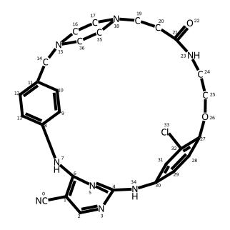 N#Cc1cnc2nc1Nc1ccc(cc1)CN1CCN(CCC(=O)NCCOc3ccc(cc3Cl)N2)CC1